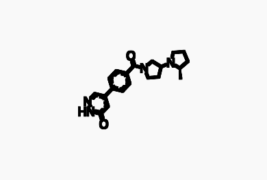 C[C@@H]1CCCN1C1CCN(C(=O)c2ccc(-c3cn[nH]c(=O)c3)cc2)C1